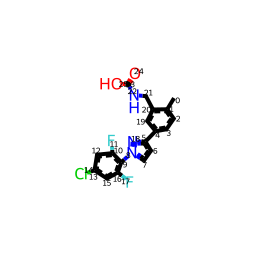 Cc1ccc(-c2ccn(-c3c(F)cc(Cl)cc3F)n2)cc1CNC(=O)O